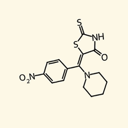 O=C1NC(=S)S/C1=C(\c1ccc([N+](=O)[O-])cc1)N1CCCCC1